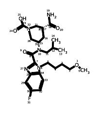 COCCCCn1c(C(=O)N(CC(C)C)[C@H]2C[C@@H](C(N)=O)CN(C(=O)O)C2)nc2cc(F)ccc21